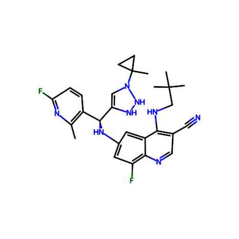 Cc1nc(F)ccc1[C@H](Nc1cc(F)c2ncc(C#N)c(NCC(C)(C)C)c2c1)C1=CN(C2(C)CC2)NN1